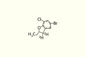 [2H]C1([2H])c2cc(Br)cc(Cl)c2OC1CC